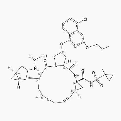 CCCOc1cc2c(Cl)cccc2c(O[C@@H]2C[C@H]3C(=O)N[C@]4(C(=O)NS(=O)(=O)C5(C)CC5)C[C@H]4C=CCC[C@H](C)C[C@@H](C)[C@H](N(C(=O)O)C4C[C@@H]5C[C@H]5C4)C(=O)N3C2)n1